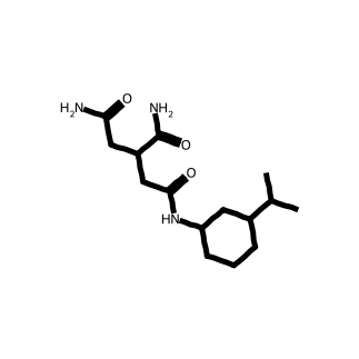 CC(C)C1CCCC(NC(=O)CC(CC(N)=O)C(N)=O)C1